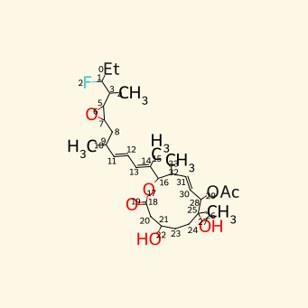 CCC(F)C(C)C1OC1CC(C)/C=C/C=C(\C)C1OC(=O)CC(O)CCC(C)(O)C(OC(C)=O)/C=C/C1C